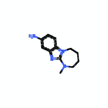 CN1CCCCn2c1nc1cc(N)ccc12